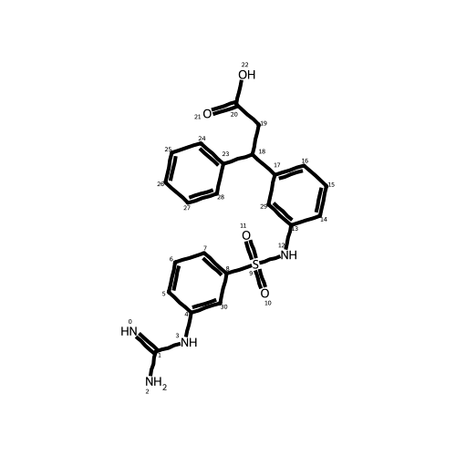 N=C(N)Nc1cccc(S(=O)(=O)Nc2cccc(C(CC(=O)O)c3ccccc3)c2)c1